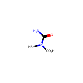 NC(=O)N([SeH])C(=O)O